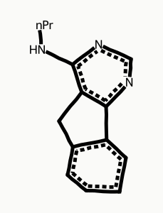 CCCNc1ncnc2c1Cc1ccccc1-2